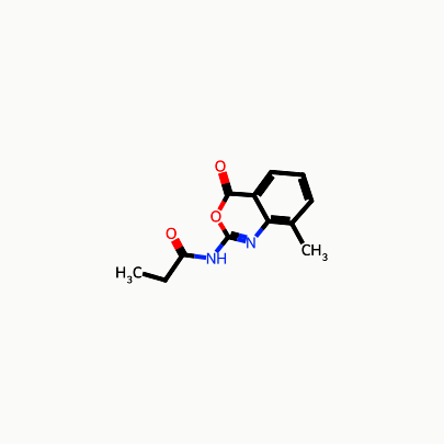 CCC(=O)Nc1nc2c(C)cccc2c(=O)o1